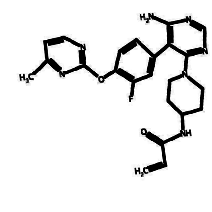 C=CC(=O)NC1CCN(c2ncnc(N)c2-c2ccc(Oc3nccc(C)n3)c(F)c2)CC1